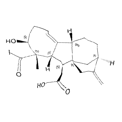 C=C1C[C@]23C[C@H]1CC[C@H]2C1=CC[C@H](O)[C@@](C)(C(=O)I)[C@H]1[C@@H]3C(=O)O